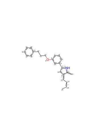 C=c1[nH]c(-c2cccc(OCCCc3ccccc3)c2)c/c1=C/C=C\C